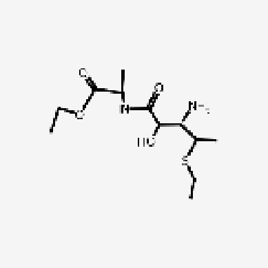 CCOC(=O)[C@@H](C)NC(=O)C(O)[C@@H](N)C(C)SCC